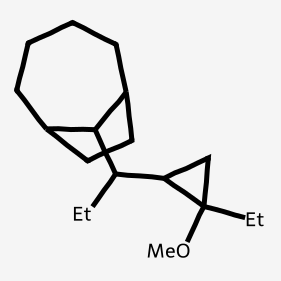 CCC(C1C2CCCCC1CC2)C1CC1(CC)OC